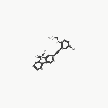 O=C(O)COc1ccc(Cl)cc1C#Cc1ccc2c(c1)S(=O)(=O)c1ccccc1-2